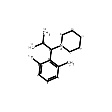 Cc1cccc(F)c1C(C(C)O)N1CCCCC1